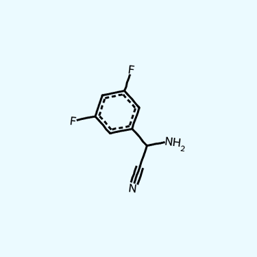 N#CC(N)c1cc(F)cc(F)c1